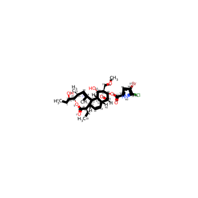 CC[C@@H](O)[C@H]1OC(=O)[C@H](CC)[C@H]2C=C[C@H]3[C@H]4O[C@]2(/C(C)=C/[C@H]1C)[C@@H]3[C@H](O)[C@@H](COC)[C@H]4OC(=O)c1cc(Br)c(Cl)[nH]1